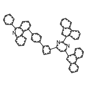 c1ccc(-c2nc3ccccc3c3c(-c4ccc(-c5cccc(-c6cc(-c7cc8ccccc8c8ccccc78)nc(-c7cc8ccccc8c8ccccc78)n6)c5)cc4)cccc23)cc1